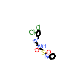 CN(CCCNC(=O)CSc1nc2ccccc2o1)Cc1ccc(Cl)c(Cl)c1